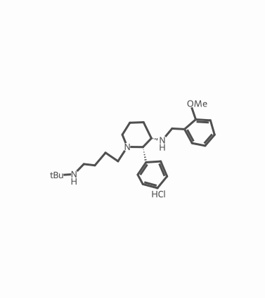 COc1ccccc1CN[C@H]1CCCN(CCCCNC(C)(C)C)[C@H]1c1ccccc1.Cl